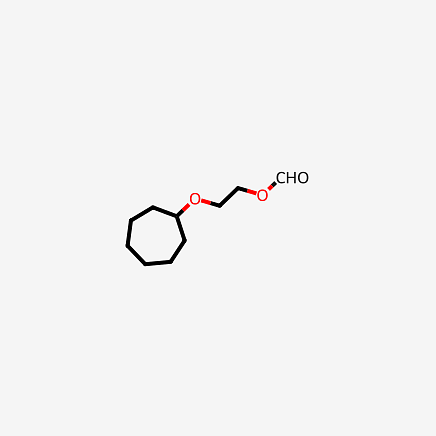 O=COCCOC1CCCCCC1